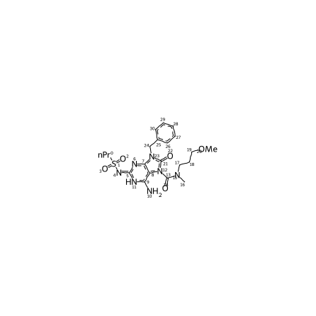 CCCS(=O)(=O)N=c1nc2c(c(N)[nH]1)n(C(=O)N(C)CCCOC)c(=O)n2Cc1ccccc1